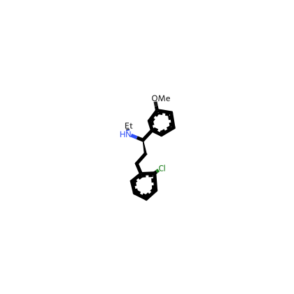 CCN[C@H](CCc1ccccc1Cl)c1cccc(OC)c1